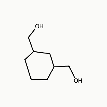 OCC1CCCC(CO)C1